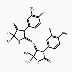 CC1(C)NC(=O)N(c2ccc([N+](=O)[O-])c(C(F)(F)F)c2)C1=O.CC1(C)NC(=O)N(c2ccc([N+](=O)[O-])c(C(F)(F)F)c2)C1=O